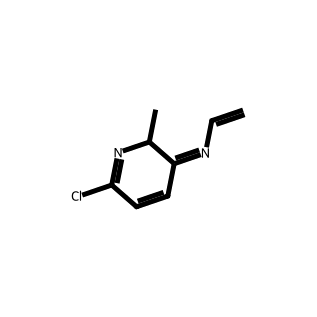 C=C/N=C1/C=CC(Cl)=NC1C